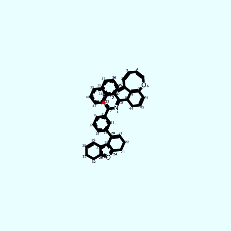 C=C1/C=C\C=C/OC2=C1C(/C(=N/C(=N\N)c1cccc(C3=CCCc4oc5c(c43)C=CCC5)c1)c1cccc3ccccc13)CC=C2